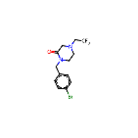 O=C1CN(CC(F)(F)F)CCN1Cc1ccc(Br)cc1